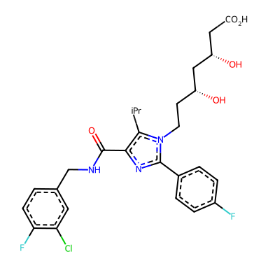 CC(C)c1c(C(=O)NCc2ccc(F)c(Cl)c2)nc(-c2ccc(F)cc2)n1CC[C@@H](O)C[C@@H](O)CC(=O)O